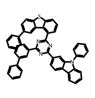 c1ccc(-c2cccc(-c3nc(-c4ccc5c6ccccc6n(-c6ccccc6)c5c4)nc(-c4cccc5sc6ccc(-c7ccccc7)cc6c45)n3)c2)cc1